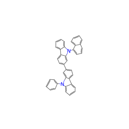 c1ccc(-n2c3ccccc3c3ccc(-c4ccc5c6ccccc6n(-c6cccc7ccccc67)c5c4)cc32)cc1